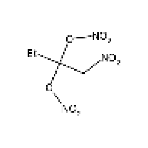 CCC(C[N+](=O)[O-])(O[N+](=O)[O-])O[N+](=O)[O-]